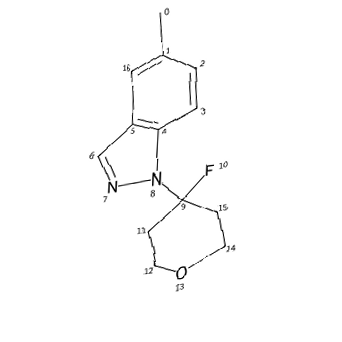 Cc1ccc2c(cnn2C2(F)CCOCC2)c1